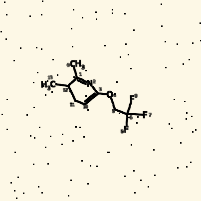 CC1=NC(OCC(F)(F)F)=CCC1C